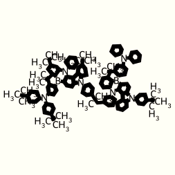 CC(C)(C)c1ccc(N(c2ccc(C(C)(C)C)cc2)c2ccc3c(c2)C(C)(C)c2cc(C(C)(C)C)cc4c2B3c2ccc3c(c2N4c2ccccc2)c2cc(C(C)(C)C)ccc2n3-c2ccc(C(C)(C)Cc3cccc(N4c5cccc6c5B(c5ccc(N(c7ccccc7)c7ccccc7)cc5C6(C)C)c5ccc6c(c54)c4ccccc4n6-c4ccc(C(C)(C)C)cc4)c3)cc2)cc1